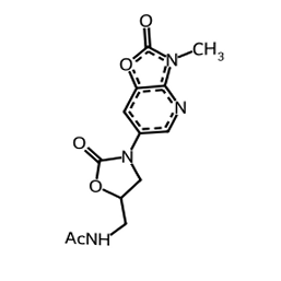 CC(=O)NCC1CN(c2cnc3c(c2)oc(=O)n3C)C(=O)O1